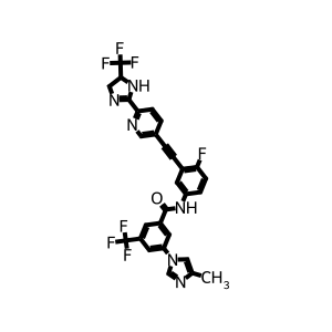 Cc1cn(-c2cc(C(=O)Nc3ccc(F)c(C#Cc4ccc(C5=NCC(C(F)(F)F)N5)nc4)c3)cc(C(F)(F)F)c2)cn1